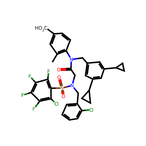 Cc1cc(C(=O)O)ccc1N(Cc1cc(C2CC2)cc(C2CC2)c1)C(=O)CN(Cc1ccccc1Cl)S(=O)(=O)c1c(F)c(F)c(F)c(F)c1Cl